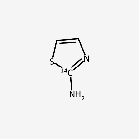 N[14c]1nccs1